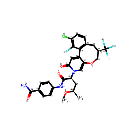 CO[C@H](C)C[C@@H](C(=O)Nc1ccc(C(N)=O)cc1)n1cc2c(cc1=O)-c1c(ccc(Cl)c1F)C[C@@H](C(F)(F)F)CO2